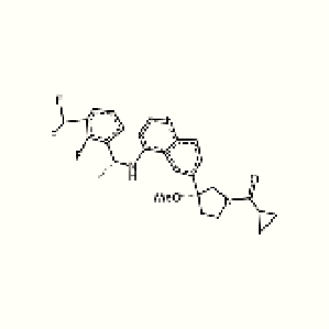 CO[C@@]1(c2ccc3nccc(N[C@H](C)c4cccc(C(F)F)c4F)c3c2)CCN(C(=O)C2CC2)C1